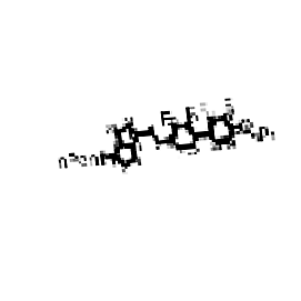 CCCCCC1CCC2C(CCc3ccc(-c4ccc(OCCC)c(F)c4F)c(F)c3F)CCC12